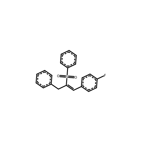 O=S(=O)(C(=Cc1ccc(F)cc1)Cc1ccccc1)c1ccccc1